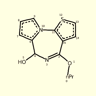 CCCOC1=NC(O)c2cccn2-c2sccc21